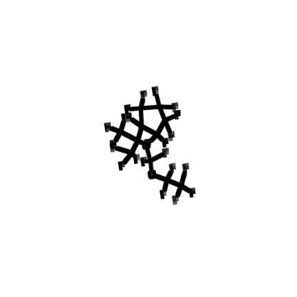 FC(F)(OC(F)(F)C(F)(F)F)OC(C(F)(F)F)(C(F)(F)F)C1(F)C(F)(F)C(F)(F)C(F)(F)C1(F)F